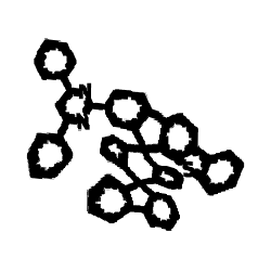 c1ccc(-c2cc(-c3ccccc3)nc(-c3ccc4c(c3)C3(c5ccccc5C5(c6ccccc6-c6ccccc65)c5ccccc53)c3c-4ccc4c3sc3ccccc34)n2)cc1